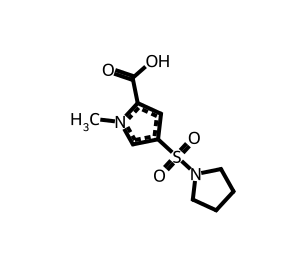 Cn1cc(S(=O)(=O)N2CCCC2)cc1C(=O)O